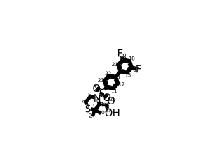 CC1(C)SCCN(S(=O)(=O)c2ccc(-c3cc(F)cc(F)c3)cc2)[C@H]1C(=O)O